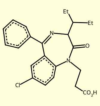 CCC(CC)C1N=C(c2ccccc2)c2cc(Cl)ccc2N(CCC(=O)O)C1=O